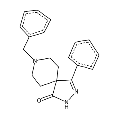 O=C1NN=C(c2ccccc2)C12CCN(Cc1ccccc1)CC2